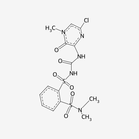 CN(C)S(=O)(=O)c1ccccc1S(=O)(=O)NC(=O)Nc1nc(Cl)cn(C)c1=O